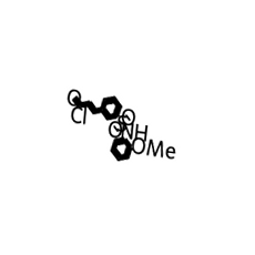 COc1ccccc1NS(=O)(=O)c1cccc(C=CC(=O)Cl)c1